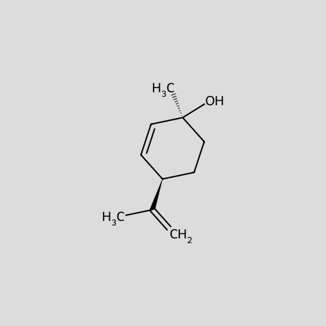 C=C(C)[C@H]1C=C[C@@](C)(O)CC1